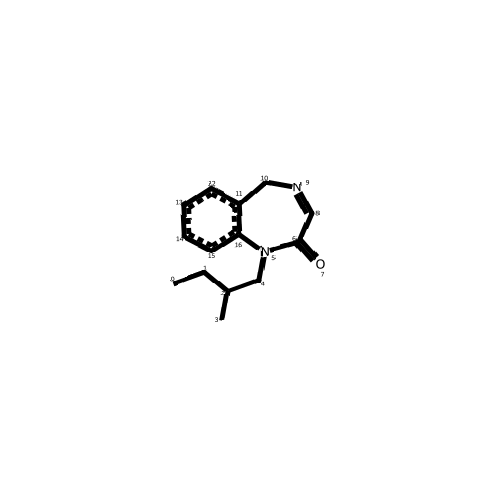 CCC(C)CN1C(=O)C=NCc2ccccc21